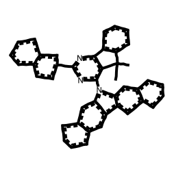 CC1(C)c2ccccc2-c2nc(-c3ccc4ccccc4c3)nc(-n3c4cc5ccccc5cc4c4cc5ccccc5cc43)c21